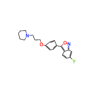 Fc1ccc2c(-c3ccc(OCCCN4CCCCC4)cc3)onc2c1